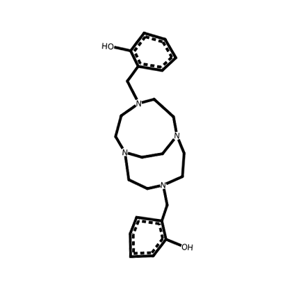 Oc1ccccc1CN1CCN2CCN(CC1)CCN(Cc1ccccc1O)CC2